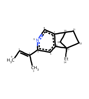 C/C=C(\C)c1cc2c(cn1)C1CCC2(CC)C1